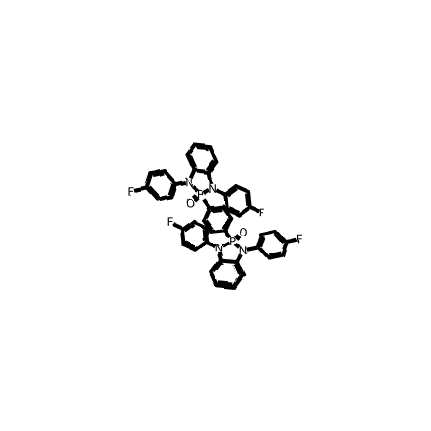 O=P1(c2ccc(P3(=O)N(c4ccc(F)cc4)c4ccccc4N3c3ccc(F)cc3)cc2)N(c2ccc(F)cc2)c2ccccc2N1c1ccc(F)cc1